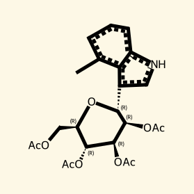 CC(=O)OC[C@H]1O[C@H](c2c[nH]c3cccc(C)c23)[C@@H](OC(C)=O)[C@@H](OC(C)=O)[C@@H]1OC(C)=O